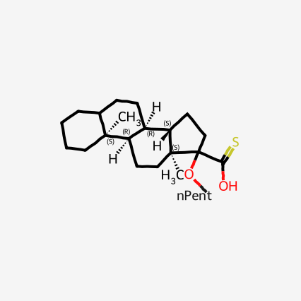 CCCCCOC1(C(O)=S)CC[C@H]2[C@@H]3CCC4CCCC[C@]4(C)[C@@H]3CC[C@@]21C